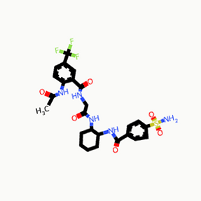 CC(=O)Nc1ccc(C(F)(F)F)cc1C(=O)NCC(=O)NC1CCCCC1NC(=O)c1ccc(S(N)(=O)=O)cc1